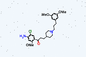 COc1cc(CCCN2CCC(CCC(=O)c3cc(Cl)c(N)cc3OC)CC2)cc(OC)c1